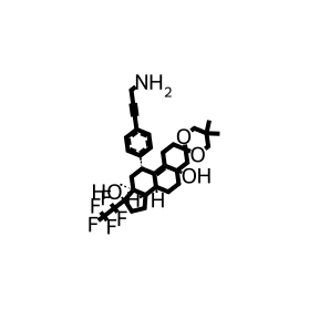 CC1(C)COC2(CCC3=C4[C@@H](CC[C@@]3(O)C2)[C@@H]2CC[C@@](O)(C(F)(F)C(F)(F)F)[C@@]2(C)C[C@@H]4c2ccc(C#CCN)cc2)OC1